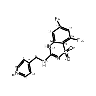 O=S1(=O)N=C(NCc2ccncc2)Nc2cc(F)cc(F)c21